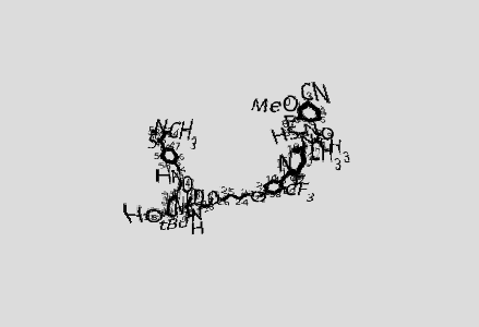 COc1c(C#N)ccc(N2C(=O)C(C)(C)N(c3cnc(-c4ccc(OCCCCOCC(=O)N[C@H](C(=O)N5C[C@H](O)C[C@H]5C(=O)NCc5ccc(-c6scnc6C)cc5)C(C)(C)C)cc4C(F)(F)F)c(F)c3)C2S)c1F